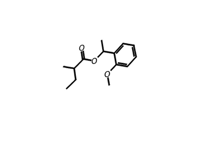 CCC(C)C(=O)OC(C)c1ccccc1OC